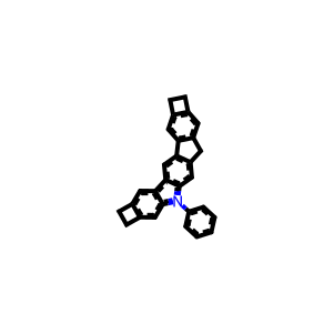 c1ccc(-n2c3cc4c(cc3c3cc5c(cc32)Cc2cc3c(cc2-5)CC3)CC4)cc1